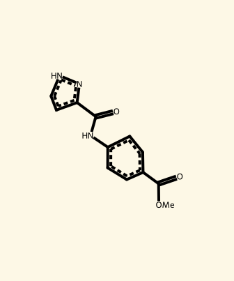 COC(=O)c1ccc(NC(=O)c2cc[nH]n2)cc1